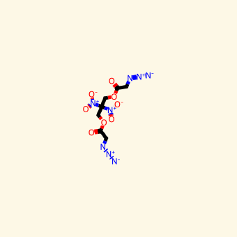 [N-]=[N+]=NCC(=O)OCC(COC(=O)CN=[N+]=[N-])([N+](=O)[O-])[N+](=O)[O-]